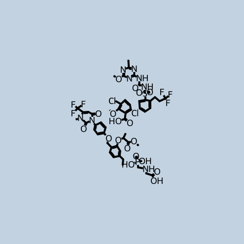 CCc1ccc(COc2ccc(-n3c(=O)cc(C(F)(F)F)n(C)c3=O)cc2)c(OC(C)C(=O)OC)c1.COc1c(Cl)ccc(Cl)c1C(=O)O.COc1nc(C)nc(NC(=O)NS(=O)(=O)c2ccccc2CCC(F)(F)F)n1.O=C(O)CNCP(=O)(O)O